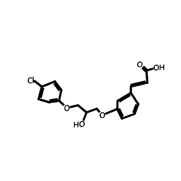 O=C(O)C=Cc1cccc(OCC(O)COc2ccc(Cl)cc2)c1